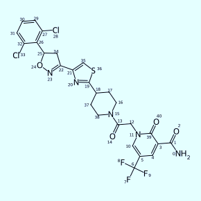 NC(=O)c1cc(C(F)(F)F)cn(CC(=O)N2CCC(c3nc(C4=NOC(c5c(Cl)cccc5Cl)C4)cs3)CC2)c1=O